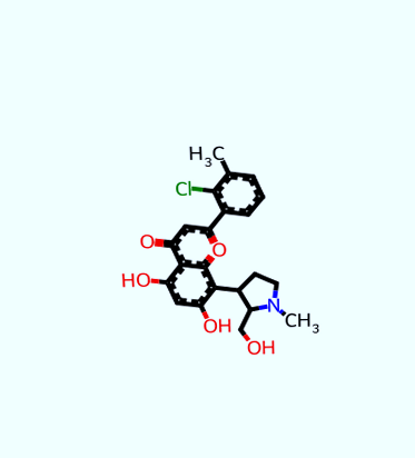 Cc1cccc(-c2cc(=O)c3c(O)cc(O)c(C4CCN(C)C4CO)c3o2)c1Cl